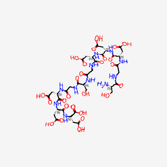 N[C@@H](CO)C(=O)NCC(=O)N[C@@H](CC(=O)O)C(=O)N[C@@H](CC(=O)O)C(=O)N[C@@H](CC(=O)O)C(=O)NCC(=O)N[C@@H](CO)C(=O)NCC(=O)N[C@@H](CC(=O)O)C(=O)N[C@@H](CC(=O)O)C(=O)N[C@@H](CC(=O)O)C(=O)O